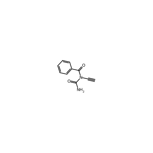 C#CN(C(N)=O)C(=O)c1ccccc1